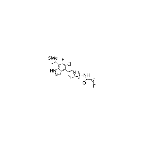 CSC(C)c1c(F)c(Cl)c(-c2ccc3nc(NC(=O)C4CC4F)cn3c2)c2cn[nH]c12